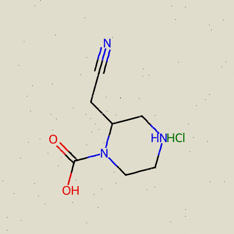 Cl.N#CCC1CNCCN1C(=O)O